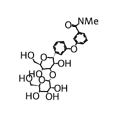 CNC(=O)c1cccc(Oc2cccc([C@H]3O[C@H](CO)[C@@H](O)[C@H](O[C@H]4O[C@H](CO)[C@@H](O)[C@H](O)[C@@H]4O)[C@@H]3O)c2)c1